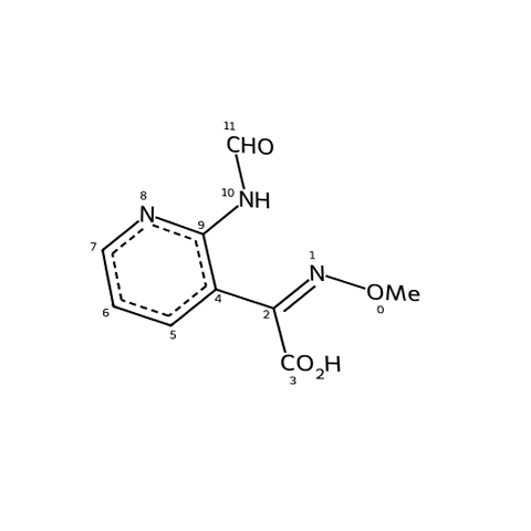 CON=C(C(=O)O)c1cccnc1NC=O